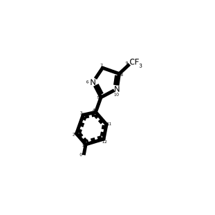 Cc1ccc(C2=NCC(C(F)(F)F)=N2)cc1